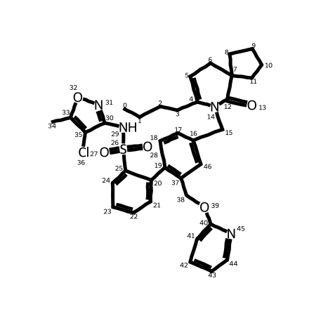 CCCCC1=CCC2(CCCC2)C(=O)N1Cc1ccc(-c2ccccc2S(=O)(=O)Nc2noc(C)c2Cl)c(COc2ccccn2)c1